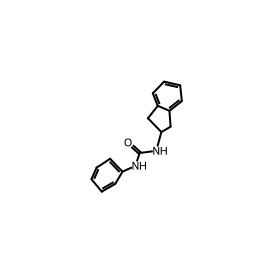 O=C(Nc1ccccc1)NC1Cc2ccccc2C1